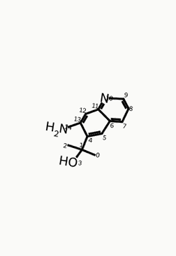 CC(C)(O)c1cc2cccnc2cc1N